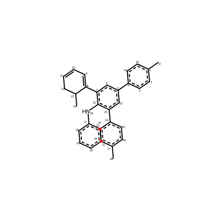 Cc1ccc(-c2cc(C3=CC=CCC3C)c(Nc3ccccc3)c(-c3ccc(C)cc3)c2)cc1